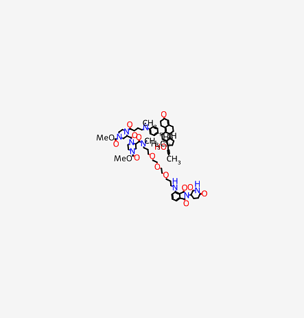 CC#C[C@]1(O)CC[C@H]2[C@@H]3CCC4=CC(=O)CCC4=C3[C@@H](c3ccc(N(C)CCCC(=O)N4CCN(C(=O)OC)CC4C(=O)N4CCN(C(=O)OC)CC4C(=O)N(C)CCCOCCOCCOCCCNc4cccc5c4C(=O)N(C4CCC(=O)NC4=O)C5=O)cc3)C[C@@]21C